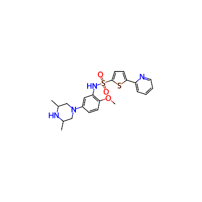 COc1ccc(N2CC(C)NC(C)C2)cc1NS(=O)(=O)c1ccc(-c2ccccn2)s1